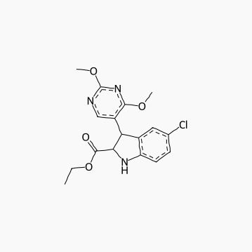 CCOC(=O)C1Nc2ccc(Cl)cc2C1c1cnc(OC)nc1OC